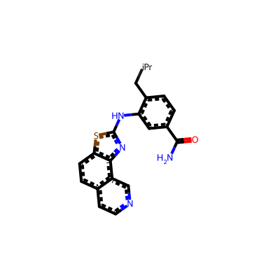 CC(C)Cc1ccc(C(N)=O)cc1Nc1nc2c(ccc3ccncc32)s1